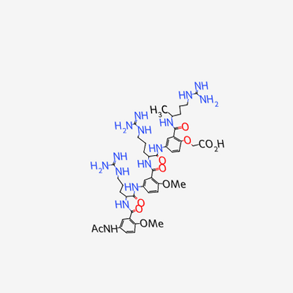 COc1ccc(NC(C)=O)cc1C(=O)NC(CCCNC(=N)N)C(=O)Nc1ccc(OC)c(C(=O)NC(CCCNC(=N)N)C(=O)Nc2ccc(OCC(=O)O)c(C(=O)NC(C)CCCNC(=N)N)c2)c1